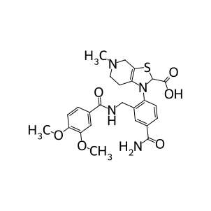 COc1ccc(C(=O)NCc2cc(C(N)=O)ccc2N2C3=C(CN(C)CC3)SC2C(=O)O)cc1OC